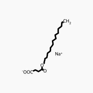 C=CCCCCCCCCCCCCCOC(=O)CCC(=O)[O-].[Na+]